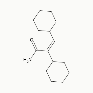 NC(=O)C(=CC1CCCCC1)C1CCCCC1